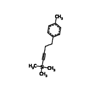 Cc1ccc(CCC#C[Si](C)(C)C)cc1